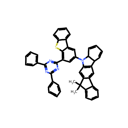 CC1(C)c2ccccc2-c2cc3c(cc21)N(c1cc(-c2nc(-c4ccccc4)nc(-c4ccccc4)n2)c2sc4ccccc4c2c1)C1C=CC=CC31